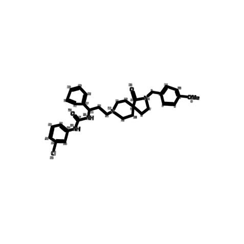 COc1ccc(CN2CCC3(CCN(CCC(NC(=O)Nc4cccc(Cl)c4)c4ccccc4)CC3)C2=O)cc1